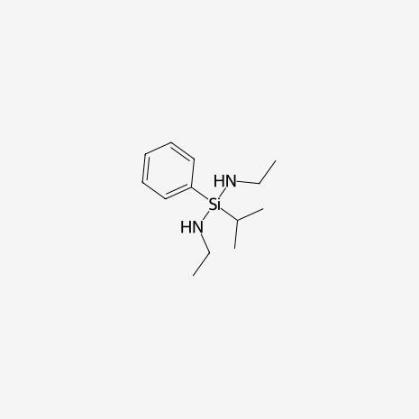 CCN[Si](NCC)(c1ccccc1)C(C)C